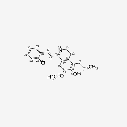 CCCc1c(O)c(OC)cc2c1CCN=C2C=Cc1ccccc1Cl